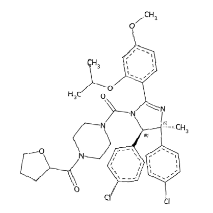 COc1ccc(C2=N[C@@](C)(c3ccc(Cl)cc3)[C@@H](c3ccc(Cl)cc3)N2C(=O)N2CCN(C(=O)C3CCCO3)CC2)c(OC(C)C)c1